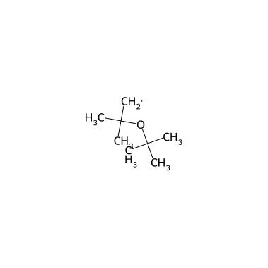 [CH2]C(C)(C)OC(C)(C)C